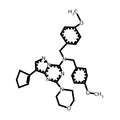 COc1ccc(CN(Cc2ccc(OC)cc2)c2nc(N3CCOCC3)nc3c(C4=CCCC4)cnn23)cc1